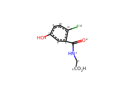 O=C(O)CNC(=O)c1cc(O)ccc1F